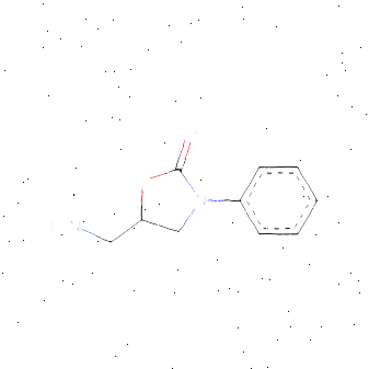 NCC1CN(c2ccccc2)C(=O)O1